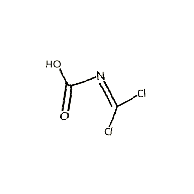 O=C(O)N=C(Cl)Cl